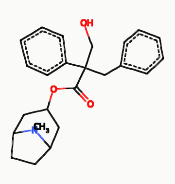 CN1C2CCC1CC(OC(=O)C(CO)(Cc1ccccc1)c1ccccc1)C2